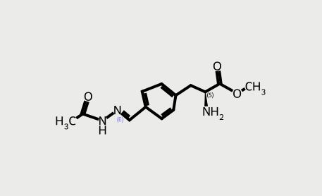 COC(=O)[C@@H](N)Cc1ccc(/C=N/NC(C)=O)cc1